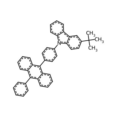 CC(C)(C)c1ccc2c(c1)c1ccccc1n2-c1ccc(-c2c3ccccc3c(-c3ccccc3)c3ccccc23)cc1